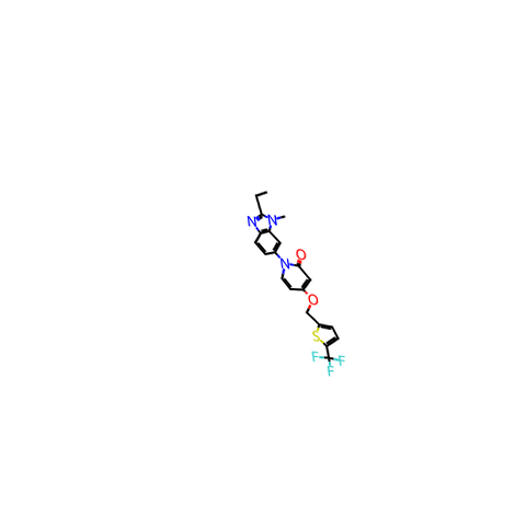 CCc1nc2ccc(-n3ccc(OCc4ccc(C(F)(F)F)s4)cc3=O)cc2n1C